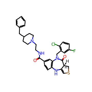 O=C(NCCN1CCC(Cc2ccccc2)CC1)c1ccc2c(c1)N(Cc1cc(F)ccc1Cl)C(=O)[C@@H]1CSC=C1N2